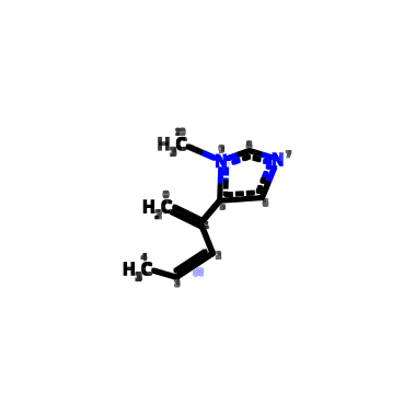 C=C(/C=C\C)c1cncn1C